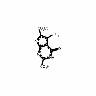 CCOC(=O)c1sc2nc(C(=O)O)[nH]c(=O)c2c1C